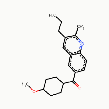 CCCc1cc2cc(C(=O)C3CCC(OC)CC3)ccc2nc1C